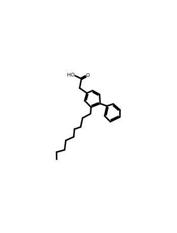 CCCCCCCCCc1cc(CC(=O)O)ccc1-c1ccccc1